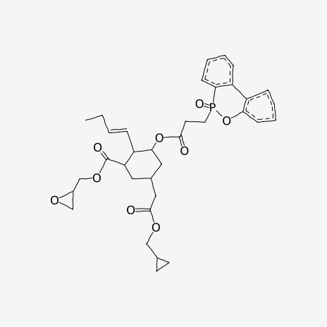 CCC=CC1C(OC(=O)CCP2(=O)Oc3ccccc3-c3ccccc32)CC(CC(=O)OCC2CC2)CC1C(=O)OCC1CO1